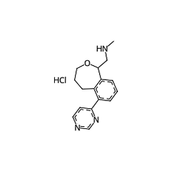 CNCC1OCCCc2c(-c3ccncn3)cccc21.Cl